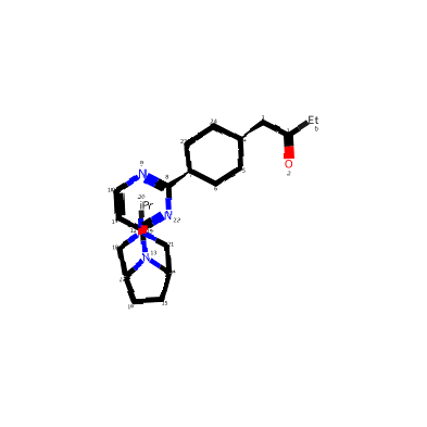 CCC(=O)C[C@H]1CC[C@@H](c2nccc(N3C4CCC3CN(C(C)C)C4)n2)CC1